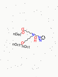 CCCCCCCCCCCOC(=O)CCCCCN(CCCCCCCOC(CCCCCCCC)CCCCCCCC)CC(O)Cn1cnc2ccccc21